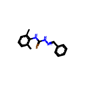 Cc1cccc(C)c1NC(=S)N/N=C/c1ccccc1